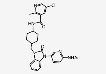 CC(=O)Nc1ccc(-n2c(=O)n(CC3CCC(NC(=O)c4cc(Cl)cnc4C)CC3)c3ccccc32)cn1